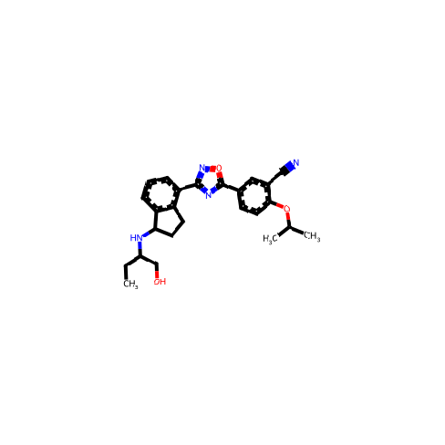 CCC(CO)NC1CCc2c(-c3noc(-c4ccc(OC(C)C)c(C#N)c4)n3)cccc21